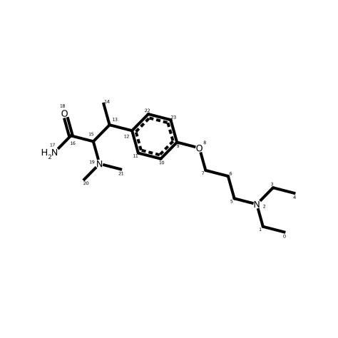 CCN(CC)CCCOc1ccc(C(C)C(C(N)=O)N(C)C)cc1